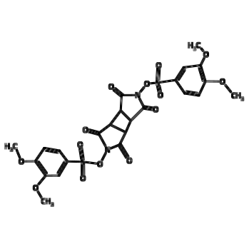 COc1ccc(S(=O)(=O)ON2C(=O)C3C(C2=O)C2C(=O)N(OS(=O)(=O)c4ccc(OC)c(OC)c4)C(=O)C32)cc1OC